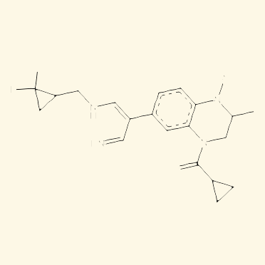 CC(=O)N1c2ccc(/C(C=N)=C/NCC3CC3(F)F)cc2N(C(=O)C2CC2)CC1C